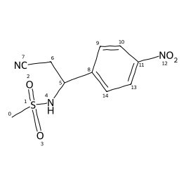 CS(=O)(=O)NC(CC#N)c1ccc([N+](=O)[O-])cc1